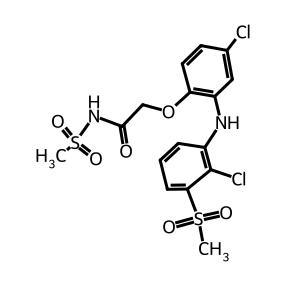 CS(=O)(=O)NC(=O)COc1ccc(Cl)cc1Nc1cccc(S(C)(=O)=O)c1Cl